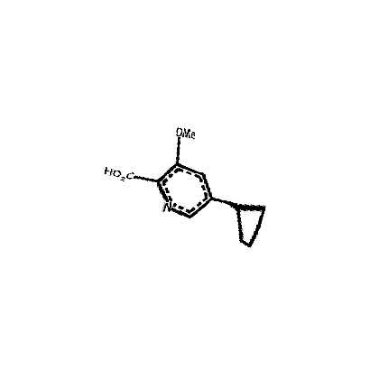 COc1cc(C2CC2)cnc1C(=O)O